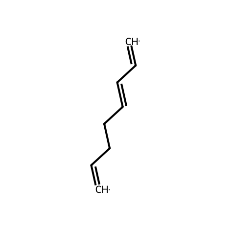 [CH]=CC=CCCC=[CH]